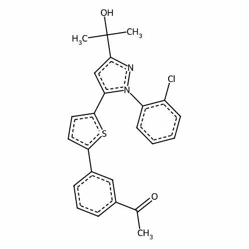 CC(=O)c1cccc(-c2ccc(-c3cc(C(C)(C)O)nn3-c3ccccc3Cl)s2)c1